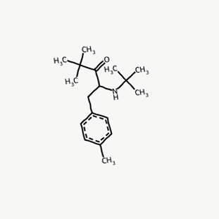 Cc1ccc(CC(NC(C)(C)C)C(=O)C(C)(C)C)cc1